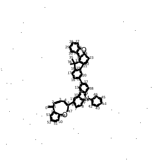 C=C1/C=C\C=C(\c2ccc3c(c2)c2cc(-c4ccc5c(c4)-c4ccc6oc7ccccc7c6c4C5(C)C)ccc2n3-c2ccccc2)COc2ccccc21